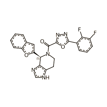 O=C(c1nnc(-c2cccc(F)c2F)o1)N1CCc2[nH]cnc2[C@H]1c1cc2ccccc2o1